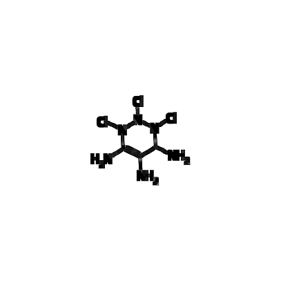 NC1=C(N)N(Cl)N(Cl)N(Cl)C1N